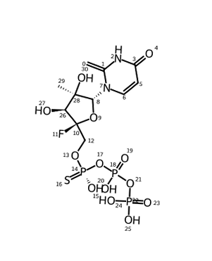 C=C1NC(=O)C=CN1[C@@H]1O[C@](F)(CO[P@](O)(=S)OP(=O)(O)OP(=O)(O)O)[C@@H](O)[C@@]1(C)O